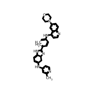 C=C(/C=C\C(=C/C)Nc1ccnc2ccc(N3CCOCC3)cc12)C1=NC2CC(Nc3ccnc(C)c3)=CC=C2N1